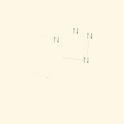 C=C(C)c1nnnn1C